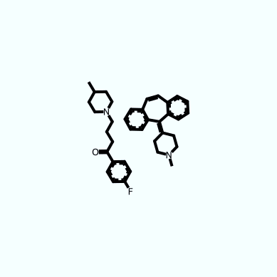 CC1CCN(CCCC(=O)c2ccc(F)cc2)CC1.CN1CCC(=C2c3ccccc3C=Cc3ccccc32)CC1